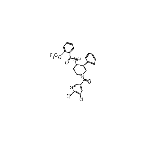 O=C(N[C@@H]1CCN(C(=O)c2cnc(Cl)c(Cl)c2)C[C@@H]1c1ccccc1)c1ccccc1OC(F)(F)F